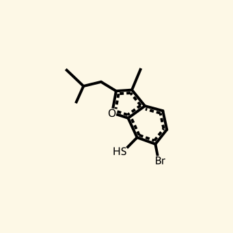 Cc1c(CC(C)C)oc2c(S)c(Br)ccc12